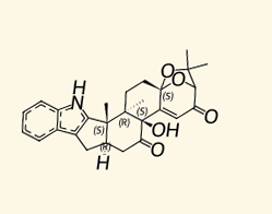 CC1(C)O[C@@]23CC[C@@]4(C)[C@@](O)(C(=O)C[C@H]5Cc6c([nH]c7ccccc67)[C@@]54C)C2=CC(=O)C1O3